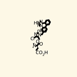 CCCCc1nc(Cl)c(COC(=O)[C@@H](CCC(=O)O)N(C)C)n1Cc1ccc(-c2ccccc2-c2nn[nH]n2)cc1